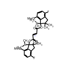 COc1ccc(F)c2c1C(OC(=O)/C=C/C(=O)OC1(N(C)C)c3c(OC)ccc(F)c3CC1(C)C)(N(C)C)C(C)(C)C2